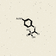 CCC(Oc1ccc(NC(C)=O)cc1)P(=O)(O)O